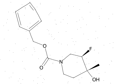 C[C@@]1(O)CCN(C(=O)OCc2ccccc2)C[C@H]1F